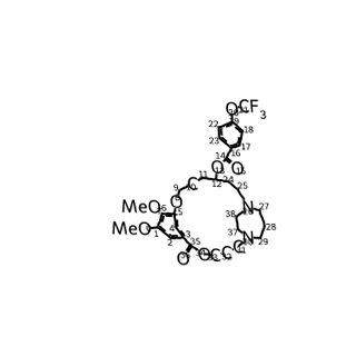 COc1cc2cc(c1OC)OCCCC(OC(=O)c1ccc(OC(F)(F)F)cc1)CCN1CCCN(CCCOC2=O)CC1